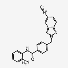 [C-]#[N+]c1ccc2nn(Cc3ccc(C(=O)Nc4ccccc4N)cc3)cc2c1